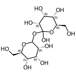 OC[C@H]1OC(O)(OC2O[C@H](CO)[C@@H](O)[C@@H](O)[C@H]2O)[C@H](O)[C@H](O)[C@@H]1O